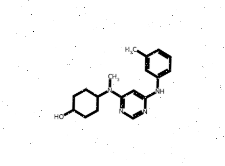 Cc1cccc(Nc2cc(N(C)C3CCC(O)CC3)ncn2)c1